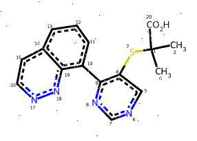 CC(C)(Sc1cncnc1-c1cccc2ccnnc12)C(=O)O